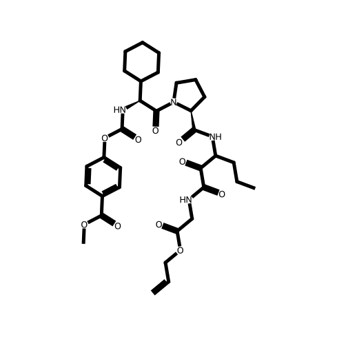 C=CCOC(=O)CNC(=O)C(=O)C(CCC)NC(=O)[C@@H]1CCCN1C(=O)[C@@H](NC(=O)Oc1ccc(C(=O)OC)cc1)C1CCCCC1